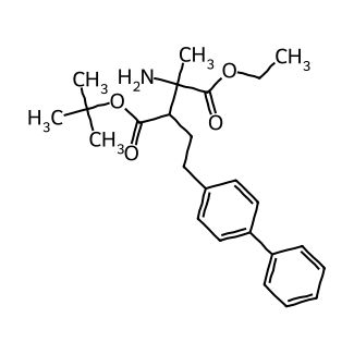 CCOC(=O)C(C)(N)C(CCc1ccc(-c2ccccc2)cc1)C(=O)OC(C)(C)C